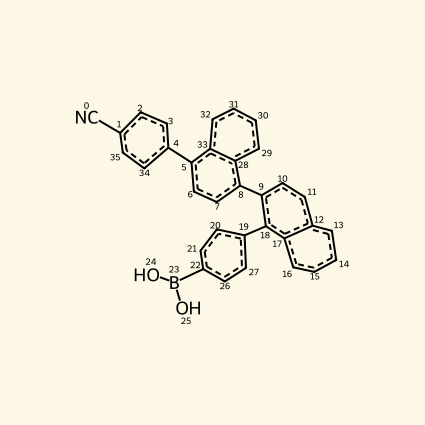 N#Cc1ccc(-c2ccc(-c3ccc4ccccc4c3-c3ccc(B(O)O)cc3)c3ccccc23)cc1